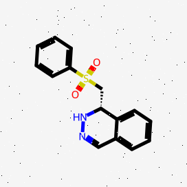 O=S(=O)(C[C@H]1NN=Cc2ccccc21)c1ccccc1